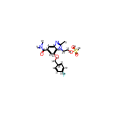 Cc1nc2cc(C(=O)N(C)C)cc(OCc3ccc(F)cc3)c2n1CCOS(C)(=O)=O